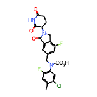 Cc1cc(F)c(N(Cc2cc(F)c3c(c2)C(=O)N(C2CCC(=O)NC2=O)C3)C(=O)O)cc1Cl